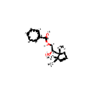 CC1(C)C=CCC1(C)[C@H](O)COC(=O)c1ccccc1